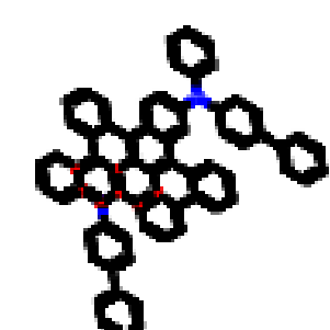 C1=CCCC(N(c2ccc(-c3ccccc3)cc2)c2ccc3c(-c4ccccc4-c4ccccc4)c4cc(N(c5ccccc5)C5C=CC(c6ccccc6)=CC5)ccc4c(-c4ccccc4-c4ccccc4)c3c2)=C1